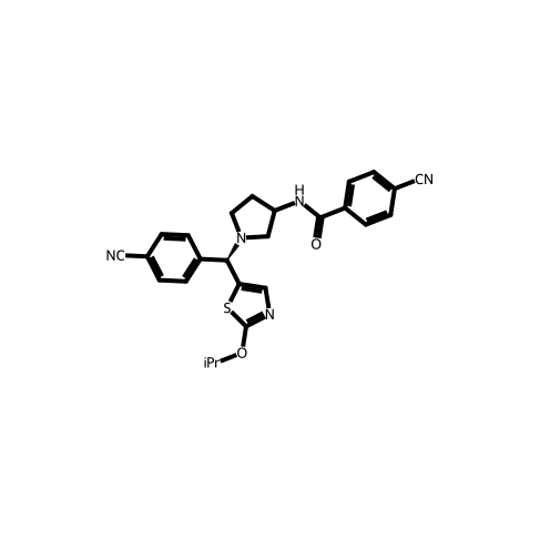 CC(C)Oc1ncc([C@@H](c2ccc(C#N)cc2)N2CCC(NC(=O)c3ccc(C#N)cc3)C2)s1